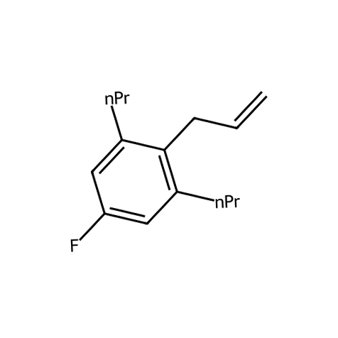 C=CCc1c(CCC)cc(F)cc1CCC